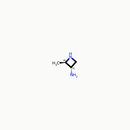 C[C@H]1NC[C@@H]1N